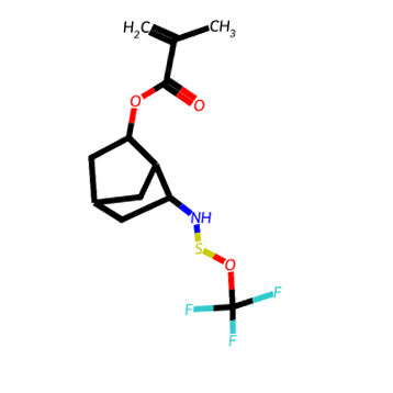 C=C(C)C(=O)OC1CC2CC(NSOC(F)(F)F)C1C2